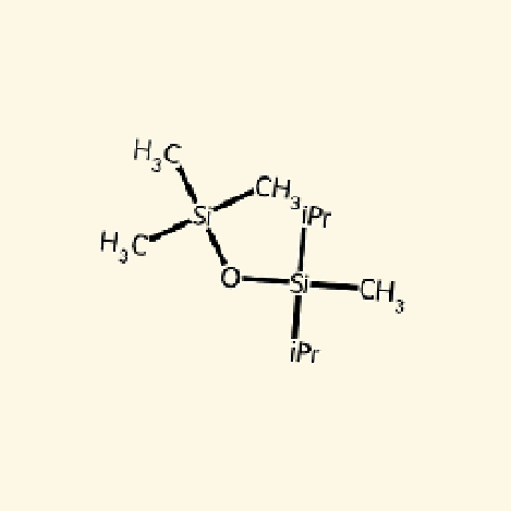 CC(C)[Si](C)(O[Si](C)(C)C)C(C)C